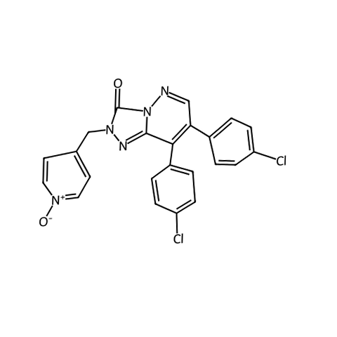 O=c1n(Cc2cc[n+]([O-])cc2)nc2c(-c3ccc(Cl)cc3)c(-c3ccc(Cl)cc3)cnn12